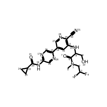 CN(CC(F)F)C(=O)C(CO)Nc1cc(-c2cnc(NC(=O)C3CC3)cn2)cnc1C#N